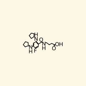 O=C(O)CCCNC(=O)c1cc(F)c(NC2CCCC2)cc1NC1CCCC1